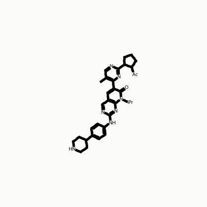 CC(=O)C1CCCC1c1ncc(C)c(-c2cc3cnc(Nc4ccc(C5CCNCC5)cc4)nc3n(C(C)C)c2=O)n1